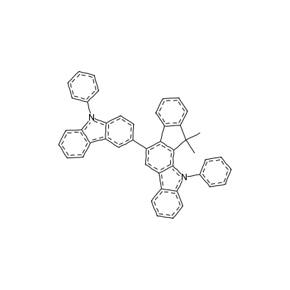 CC1(C)c2ccccc2-c2c(-c3ccc4c(c3)c3ccccc3n4-c3ccccc3)cc3c4ccccc4n(-c4ccccc4)c3c21